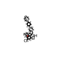 OC(CN1CCN(c2ccc(N3CCOCC3)cc2)CC1)(Cn1cncn1)c1ccc(Cl)cc1Cl